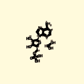 Nc1ncnc2c1ncn2[C@@H]1O[C@H](COP(=O)(O)O)[C@@H](O)[C@H]1O.OBO